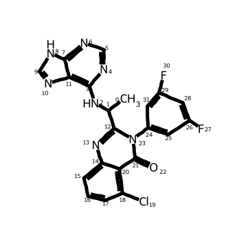 CC(Nc1ncnc2[nH]cnc12)c1nc2cccc(Cl)c2c(=O)n1-c1cc(F)cc(F)c1